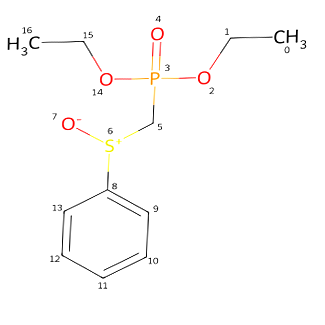 CCOP(=O)(C[S+]([O-])c1ccccc1)OCC